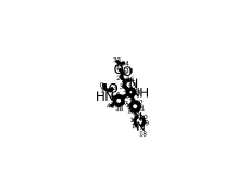 C=CC(=O)Nc1cc(-c2c(-c3ccc(N4CCN(C)CC4)cc3)[nH]c3ncc(CC(=O)OC(C)C)cc23)ccc1C